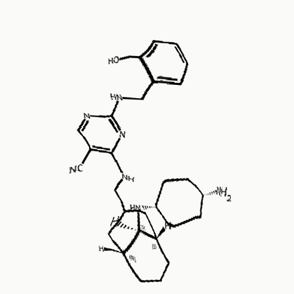 N#Cc1cnc(NCc2ccccc2O)nc1NCC1C[C@H]2CCC[C@@H](C1)[C@@H]2N[C@H]1CC[C@@H](N)CC1